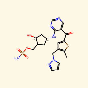 Cc1sc(C(=O)c2cncnc2N[C@@H]2CC(COS(N)(=O)=O)[C@@H](O)C2)cc1Cn1cccn1